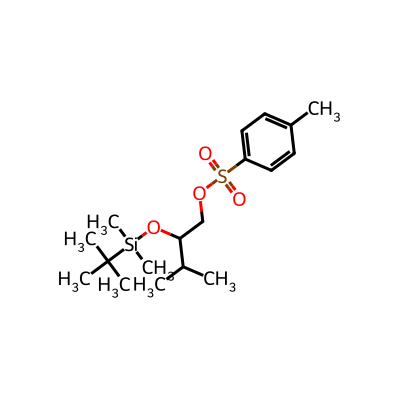 Cc1ccc(S(=O)(=O)OCC(O[Si](C)(C)C(C)(C)C)C(C)C)cc1